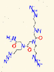 [N-]=[N+]=NCCCNCC(=O)N(CCCN=[N+]=[N-])CC(=O)N(CCCN=[N+]=[N-])CC(N)=O